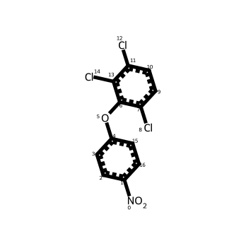 O=[N+]([O-])c1ccc(Oc2c(Cl)ccc(Cl)c2Cl)cc1